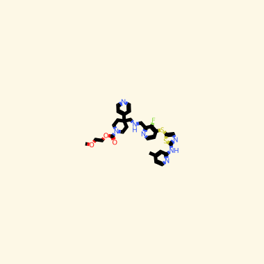 COCCOC(=O)N1CCC(CNCc2nccc(Sc3cnc(Nc4cc(C)ccn4)s3)c2F)(c2ccncc2)CC1